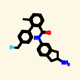 Cc1cccc(C(=O)Nc2ccc3c(c2)CC(N)C3)c1-c1ccc(CF)cc1